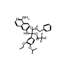 CCOc1cc(C(Nc2ccc3c(N)nccc3c2)(OC(=O)C(F)(F)F)C(=O)N(C)Cc2ccccc2)ccc1OC(C)C